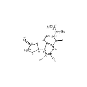 CCOc1c([C@H](C)NN(C(=O)O)C(C)(C)C)cc(Cl)c(F)c1[C@@H]1CNC(=O)C1